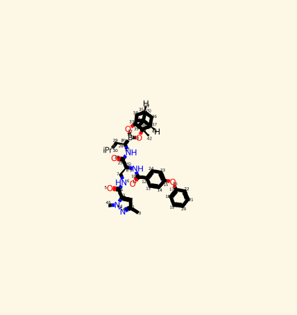 Cc1cc(C(=O)NC[C@H](NC(=O)c2ccc(Oc3ccccc3)cc2)C(=O)N[C@@H](CC(C)C)B2OC3C[C@@H]4C[C@@H](C4(C)C)[C@]3(C)O2)n(C)n1